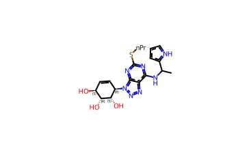 CCCSc1nc(NC(C)c2ccc[nH]2)c2nnn([C@@H]3C=C[C@H](O)[C@@H](O)[C@H]3O)c2n1